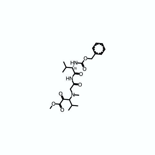 COC(=O)C(=O)C(C(C)C)N(C)CC(=O)NC(=O)[C@@H](NC(=O)OCc1ccccc1)C(C)C